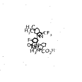 CC1(C)CCc2c(C(F)(F)F)nn(-c3cc(F)c(C(N)=O)c(NC4CCCC4[C@H](N)C(=O)O)c3)c2C1